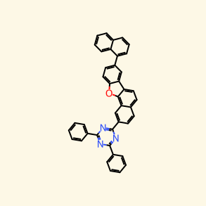 c1ccc(-c2nc(-c3ccccc3)nc(-c3ccc4ccc5c6cc(-c7cccc8ccccc78)ccc6oc5c4c3)n2)cc1